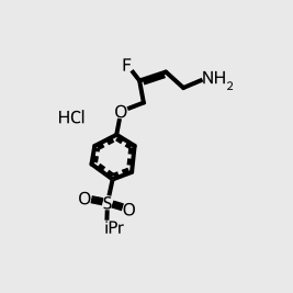 CC(C)S(=O)(=O)c1ccc(OC/C(F)=C\CN)cc1.Cl